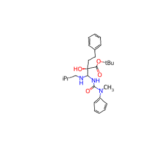 CC(C)CNC(NC(=O)N(C)c1ccccc1)[C@](O)(CCc1ccccc1)C(=O)OC(C)(C)C